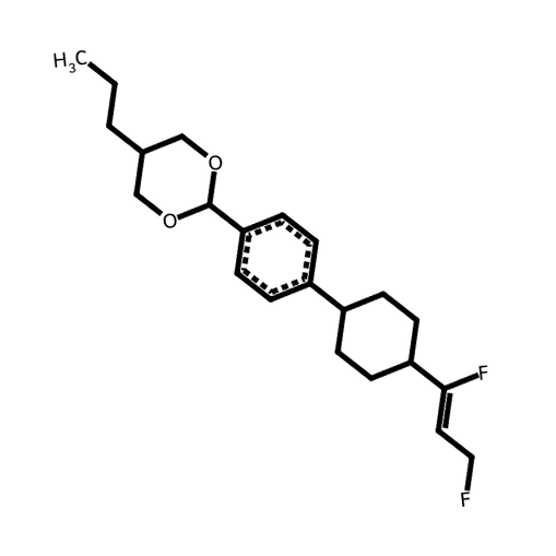 CCCC1COC(c2ccc(C3CCC(/C(F)=C/CF)CC3)cc2)OC1